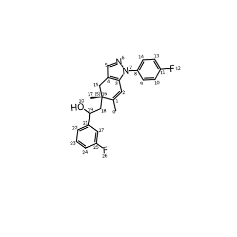 CC1=Cc2c(cnn2-c2ccc(F)cc2)C[C@@]1(C)CC(O)c1cccc(F)c1